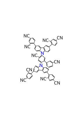 N#Cc1cccc(-c2cc(-n3c4ccc(-c5ccc(C#N)cc5C#N)cc4c4cc(-c5ccc(C#N)cc5C#N)ccc43)c(C#N)cc2-n2c3ccc(-c4ccc(C#N)cc4C#N)cc3c3cc(-c4ccc(C#N)cc4C#N)ccc32)c1